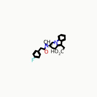 CN(C(=O)Cc1ccc(F)cc1)[C@H]1CCc2c(CC(=O)O)c3ccccc3n2C1